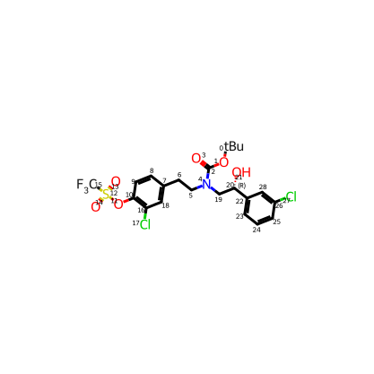 CC(C)(C)OC(=O)N(CCc1ccc(OS(=O)(=O)C(F)(F)F)c(Cl)c1)C[C@H](O)c1cccc(Cl)c1